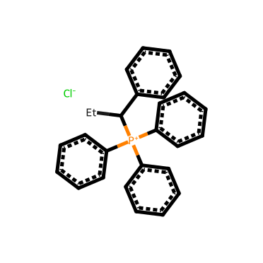 CCC(c1ccccc1)[P+](c1ccccc1)(c1ccccc1)c1ccccc1.[Cl-]